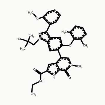 CCNC(=O)c1cc2c(-c3cc4c(cc3Oc3c(C)cccc3C)c(-c3ccncc3OC)nn4CC(C)(C)O)cn(C)c(=O)c2[nH]1